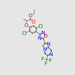 CCOC(=O)C(C)Oc1cc(Cl)c(-c2noc(-c3cn4cc(C(F)(F)F)ncc4n3)n2)cc1Cl